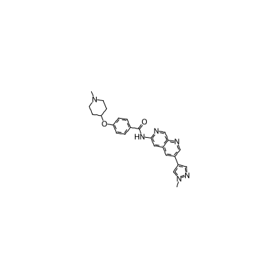 CN1CCC(Oc2ccc(C(=O)Nc3cc4cc(-c5cnn(C)c5)cnc4cn3)cc2)CC1